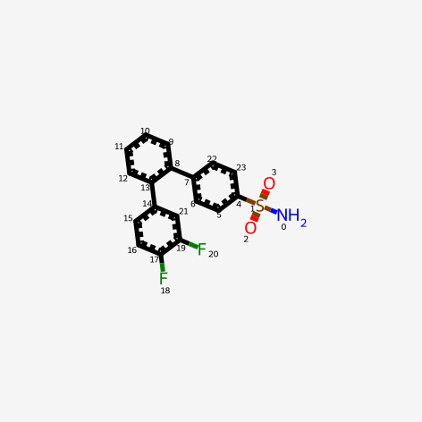 NS(=O)(=O)c1ccc(-c2ccccc2-c2ccc(F)c(F)c2)cc1